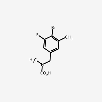 Cc1cc(CN(C)C(=O)O)cc(F)c1Br